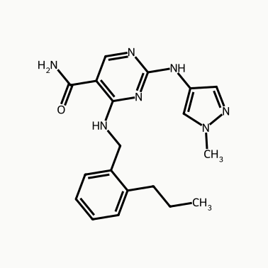 CCCc1ccccc1CNc1nc(Nc2cnn(C)c2)ncc1C(N)=O